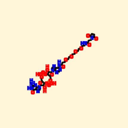 Nc1nc2c(ncn2C2OC3COP(=O)(O)OC4C(COP(=O)(O)OC3C2O)OC(n2cnc3c(NC(=O)CCOCCOCCOCCOCCNC(=O)CCN5C(=O)C=CC5=O)ncnc32)C4O)c(=O)[nH]1